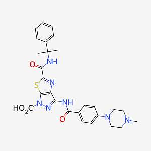 CN1CCN(c2ccc(C(=O)Nc3nn(C(=O)O)c4sc(C(=O)NC(C)(C)c5ccccc5)nc34)cc2)CC1